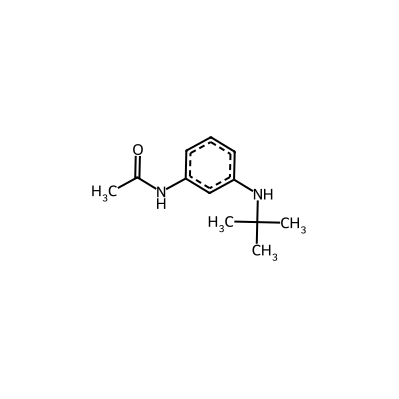 CC(=O)Nc1cccc(NC(C)(C)C)c1